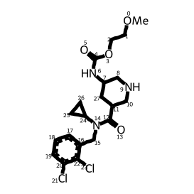 COCCOC(=O)NC1CNCC(C(=O)N(Cc2cccc(Cl)c2Cl)C2CC2)C1